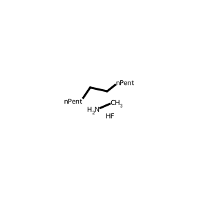 CCCCCCCCCCCC.CN.F